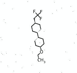 CCO[C@H]1CC[C@H]([C@H]2CC[C@H](CC(F)(F)F)CC2)CC1